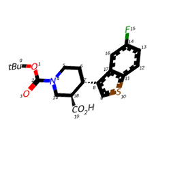 CC(C)(C)OC(=O)N1CC[C@H](c2csc3ccc(F)cc23)[C@@H](C(=O)O)C1